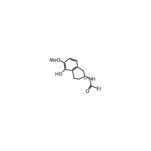 CCC(=O)N[C@H]1CCc2c(ccc(OC)c2O)C1